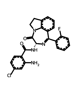 Nc1cc(Cl)ccc1C(=O)N[C@H]1N=C(c2ccccc2F)c2cccc3c2N(CC3)C1=O